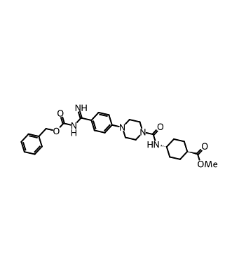 COC(=O)[C@H]1CC[C@H](NC(=O)N2CCN(c3ccc(C(=N)NC(=O)OCc4ccccc4)cc3)CC2)CC1